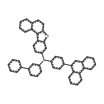 c1ccc(-c2cccc(N(c3ccc(-c4cc5ccccc5c5ccccc45)cc3)c3ccc4c(c3)sc3ccc5ccccc5c34)c2)cc1